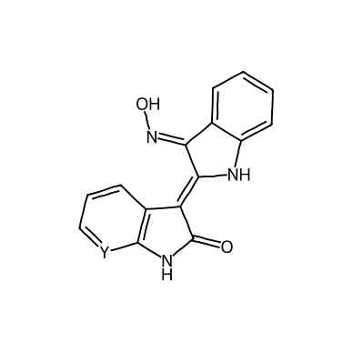 O=C1N[C]2=C(C=C[CH]=[Y]2)/C1=C1/Nc2ccccc2/C1=N\O